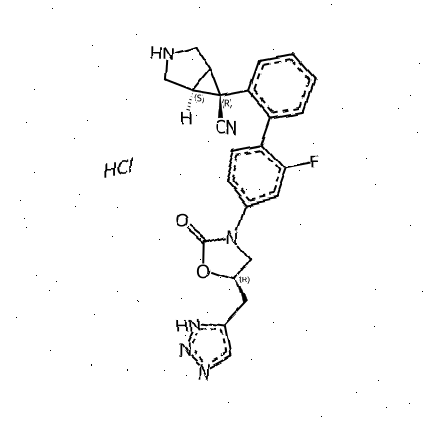 Cl.N#C[C@]1(c2ccccc2-c2ccc(N3C[C@@H](Cc4cnn[nH]4)OC3=O)cc2F)C2CNC[C@@H]21